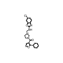 O=C(c1cnoc1-c1ccccc1)N1CC[C@@H](CNc2nc3ccc(Cl)cc3o2)C1